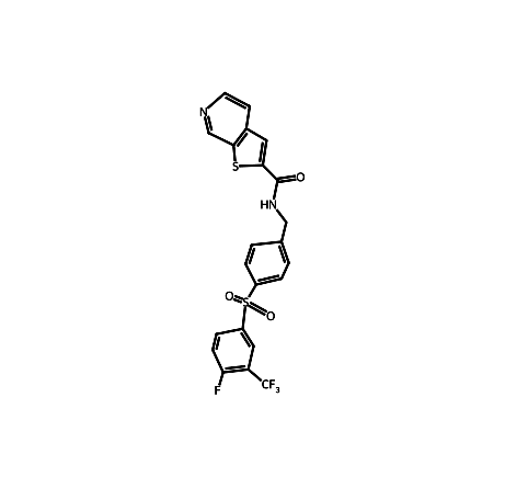 O=C(NCc1ccc(S(=O)(=O)c2ccc(F)c(C(F)(F)F)c2)cc1)c1cc2ccncc2s1